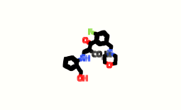 CCOC(=O)/C(=C\Nc1ccccc1CO)C(=O)c1cc(CN2CCOCC2)ccc1F